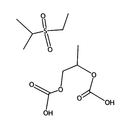 CC(COC(=O)O)OC(=O)O.CCS(=O)(=O)C(C)C